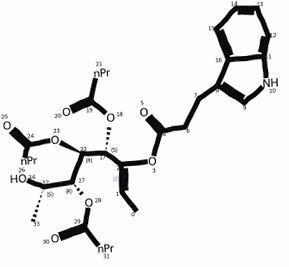 C/C=C(\OC(=O)CCc1c[nH]c2ccccc12)[C@@H](OC(=O)CCC)[C@H](OC(=O)CCC)[C@H](OC(=O)CCC)[C@H](C)O